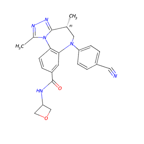 Cc1nnc2n1-c1ccc(C(=O)NC3COC3)cc1N(c1ccc(C#N)cc1)C[C@H]2C